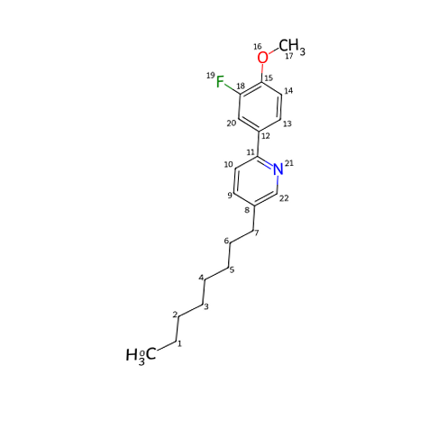 CCCCCCCCc1ccc(-c2ccc(OC)c(F)c2)nc1